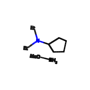 CCN(CC)C1CCCC1.CO[SiH3]